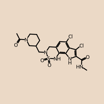 CNC(=O)c1[nH]c2c3c(cc(Cl)c2c1Cl)CN(CC1CCCN(C(C)=O)C1)S(=O)(=O)N3